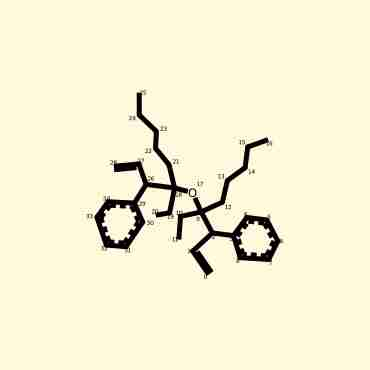 C=CC(c1ccccc1)C(CC)(CCCCC)OC(CC)(CCCCC)C(C=C)c1ccccc1